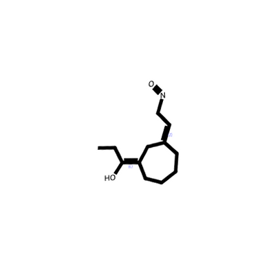 CC/C(O)=C1/CCCC/C(=C/CN=O)C1